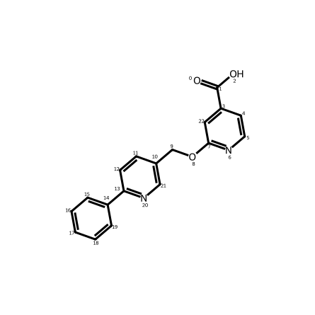 O=C(O)c1ccnc(OCc2ccc(-c3ccccc3)nc2)c1